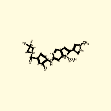 Cn1cc(-c2cc3cnc(Nc4ccc(C(=O)N5CC(F)(F)C5)cc4Cl)cc3n2C(=O)O)cn1